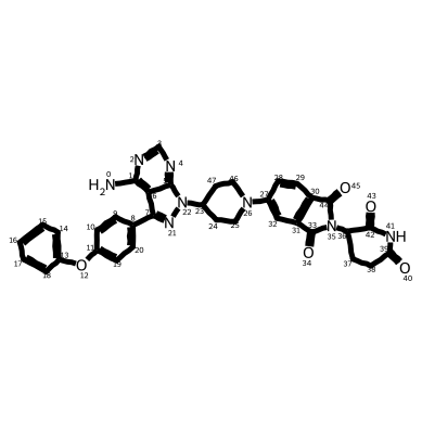 Nc1ncnc2c1c(-c1ccc(Oc3ccccc3)cc1)nn2C1CCN(c2ccc3c(c2)C(=O)N(C2CCC(=O)NC2=O)C3=O)CC1